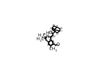 Cc1cc2c(cc1C=O)C(=CC(=O)C13CC4CC(CC(C4)C1)C3)NC(C)(C)C2